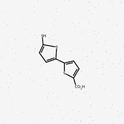 O=C(O)c1ccc(-c2ccc(S)s2)s1